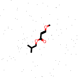 CO/C=C/C(=O)OCC(C)C